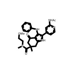 COCCN(C)C(=O)C1(C)CC(=O)c2c([nH]c(-c3ccnc(NC(C)=O)c3)c2Nc2ccccc2)C1